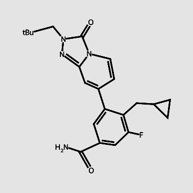 CC(C)(C)Cn1nc2cc(-c3cc(C(N)=O)cc(F)c3CC3CC3)ccn2c1=O